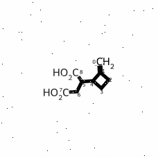 C=C1CCC1C(CC(=O)O)C(=O)O